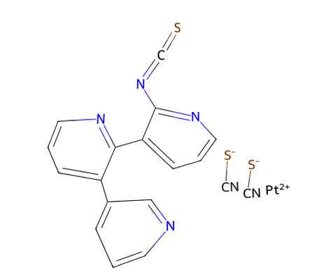 N#C[S-].N#C[S-].S=C=Nc1ncccc1-c1ncccc1-c1cccnc1.[Pt+2]